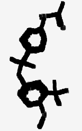 COc1ccc(CC(C)(C)c2ccc(NC(C)=O)cc2)cc1C(C)(C)C